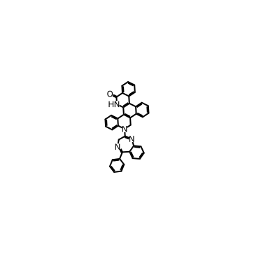 O=c1[nH]c2c3c(c4ccccc4c2c2ccccc12)CN(C1=Nc2ccccc2C(c2ccccc2)=NC1)c1ccccc1-3